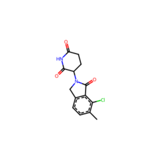 Cc1ccc2c(c1Cl)C(=O)N(C1CCC(=O)NC1=O)C2